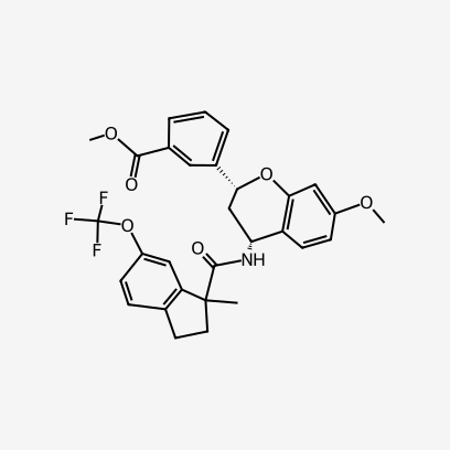 COC(=O)c1cccc([C@H]2C[C@@H](NC(=O)C3(C)CCc4ccc(OC(F)(F)F)cc43)c3ccc(OC)cc3O2)c1